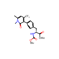 COC(=O)[C@H](Cc1ccc(-c2c(C(F)(F)F)cc(C)n(C)c2=O)cc1)NC(=O)OC(C)(C)C